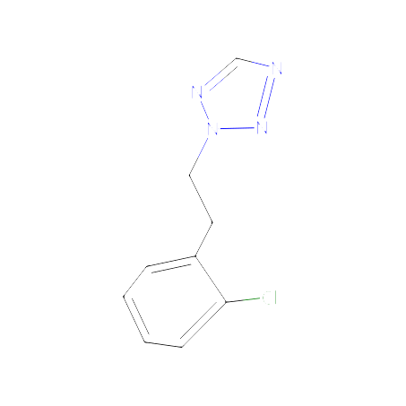 Clc1ccccc1CCn1ncnn1